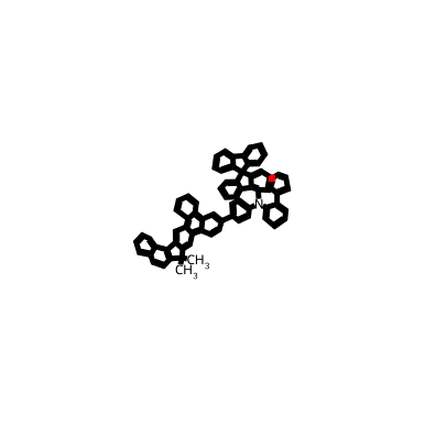 CC1(C)c2cc3c4ccc(-c5ccc(N(c6ccccc6-c6ccccc6)c6cccc7c6-c6ccccc6C76c7ccccc7-c7ccccc76)cc5)cc4c4ccccc4c3cc2-c2c1ccc1ccccc21